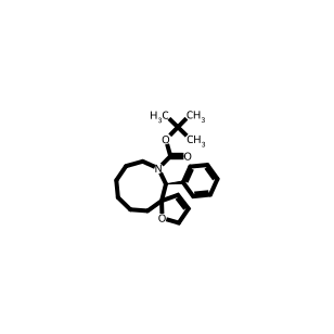 CC(C)(C)OC(=O)N1CCCCCCC2(C=CCO2)[C@@H]1c1ccccc1